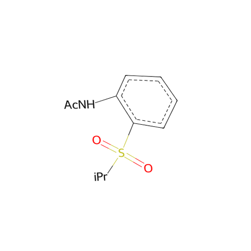 CC(=O)Nc1ccccc1S(=O)(=O)C(C)C